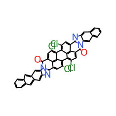 O=c1c2cc(Cl)c3c4c(Cl)cc5c6c(cc(Cl)c(c7c(Cl)cc(c2c73)c2nc3cc7ccccc7cc3n12)c46)c(=O)n1c2cc3cc4ccccc4cc3cc2nc51